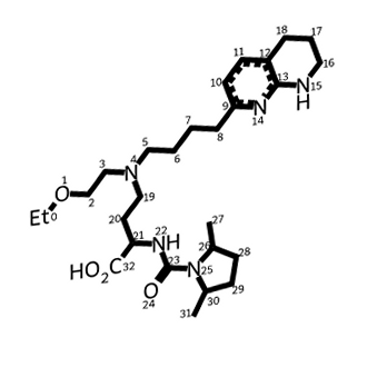 CCOCCN(CCCCc1ccc2c(n1)NCCC2)CCC(NC(=O)N1C(C)CCC1C)C(=O)O